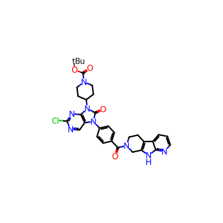 CC(C)(C)OC(=O)N1CCC(n2c(=O)n(-c3ccc(C(=O)N4CCc5c([nH]c6ncccc56)C4)cc3)c3cnc(Cl)nc32)CC1